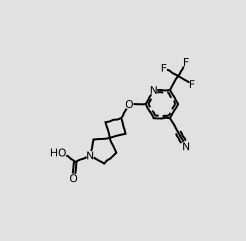 N#Cc1cc(OC2CC3(CCN(C(=O)O)C3)C2)nc(C(F)(F)F)c1